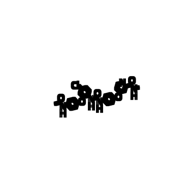 CNC(=O)c1cc(Oc2ccc(NC(=O)Nc3ccc(Cl)cc3Oc3ccc(NC(C)=O)cc3)cc2)ccn1